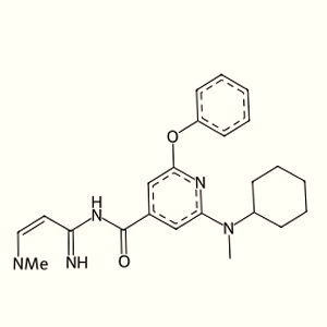 CN/C=C\C(=N)NC(=O)c1cc(Oc2ccccc2)nc(N(C)C2CCCCC2)c1